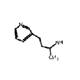 CC([NH])CCc1cccnc1